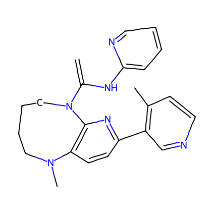 C=C(Nc1ccccn1)N1CCCCN(C)c2ccc(-c3cnccc3C)nc21